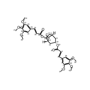 COc1cc(/C=C/C(=O)O[C@H]2C[C@H]3C[C@H](OC(=O)/C=C/c4cc(OC)c(OC)c(OC)c4)[C@@H](C2)N3C)cc(OC)c1OC